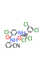 N#Cc1ccccc1NC(=O)c1cc(NC(=O)[C@H]2[C@H](c3cc(Cl)cc(Cl)c3)C2(Cl)Cl)ccc1Cl